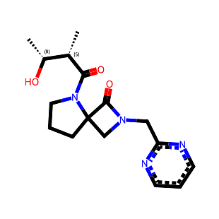 C[C@H](C(=O)N1CCCC12CN(Cc1ncccn1)C2=O)[C@@H](C)O